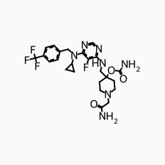 NC(=O)CN1CCC(CNc2ncnc(N(Cc3ccc(C(F)(F)F)cc3)C3CC3)c2F)(OC(N)=O)CC1